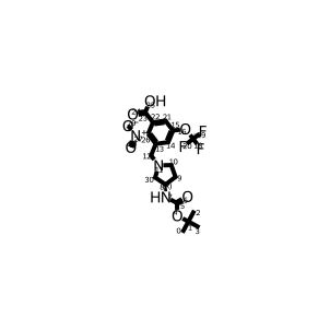 CC(C)(C)OC(=O)N[C@@H]1CCN(Cc2cc(OC(F)(F)F)cc(C(=O)O)c2[N+](=O)[O-])C1